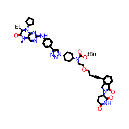 CC[C@@H]1C(=O)N(C)c2cnc(Nc3ccc(-c4cn([C@H]5CC[C@@H](N(CCOCCC#Cc6cccc7c6CN(C6CCC(=O)NC6=O)C7=O)C(=O)OC(C)(C)C)CC5)nn4)cc3)nc2N1C1CCCC1